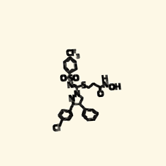 O=C(CCS/C(=N\S(=O)(=O)c1ccc(C(F)(F)F)cc1)N1CC(c2ccccc2)C(c2ccc(Cl)cc2)=N1)NO